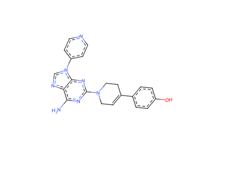 Nc1nc(N2CC=C(c3ccc(O)cc3)CC2)nc2c1ncn2-c1ccncc1